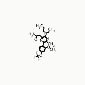 CCCN(CC)c1nc(C)c(-c2ccc(OC(F)(F)F)cc2OC)nc1CC(N)=O